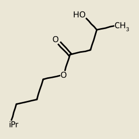 CC(C)CCCOC(=O)CC(C)O